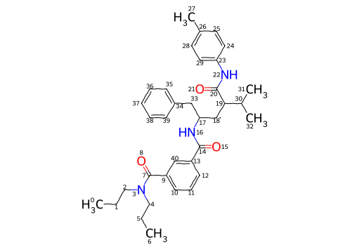 CCCN(CCC)C(=O)c1cccc(C(=O)NC([CH]C(C(=O)Nc2ccc(C)cc2)C(C)C)Cc2ccccc2)c1